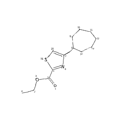 CCOC(=O)c1nc(C2CCCCCC2)cs1